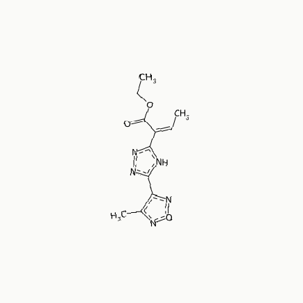 C/C=C(\C(=O)OCC)c1nnc(-c2nonc2C)[nH]1